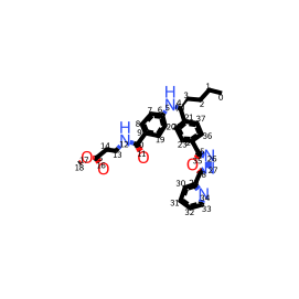 CCCC[C@H](Nc1ccc(C(=O)NCCC(=O)OC)cc1)c1ccc(-c2nnc(-c3ccccn3)o2)cc1